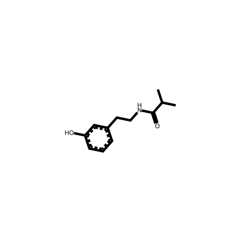 CC(C)C(=O)NCCc1cccc(O)c1